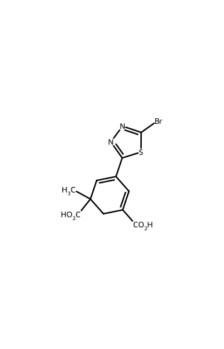 CC1(C(=O)O)C=C(c2nnc(Br)s2)C=C(C(=O)O)C1